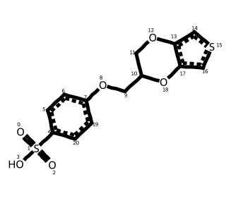 O=S(=O)(O)c1ccc(OCC2COc3cscc3O2)cc1